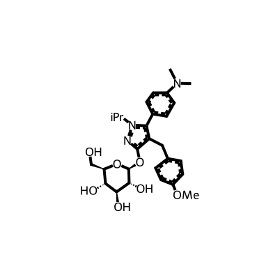 COc1ccc(Cc2c(O[C@@H]3O[C@H](CO)[C@@H](O)[C@H](O)[C@H]3O)nn(C(C)C)c2-c2ccc(N(C)C)cc2)cc1